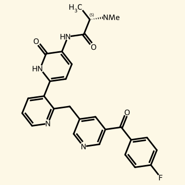 CN[C@@H](C)C(=O)Nc1ccc(-c2cccnc2Cc2cncc(C(=O)c3ccc(F)cc3)c2)[nH]c1=O